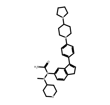 CN(C1CCOCC1)N(C(N)=O)c1ccc2c(c1)C(c1ccc(N3CCC(N4CCCC4)CC3)cc1)=CC2